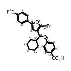 CC(C)c1oc(-c2ccc(C(F)(F)F)cc2)cc1C(Oc1ccc(C(=O)O)cc1)C1CCCCC1